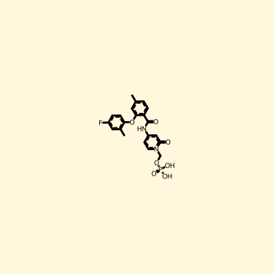 Cc1ccc(C(=O)Nc2ccn(COP(=O)(O)O)c(=O)c2)c(Oc2ccc(F)cc2C)c1